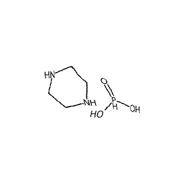 C1CNCCN1.O=[PH](O)O